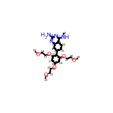 CNc1nc(N)nc2cc(-c3c(OCCOC)cc(OCCOC)cc3OCCOC)ccc12